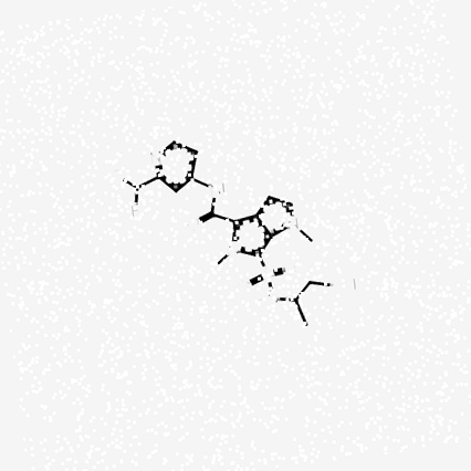 CC(CO)NS(=O)(=O)c1c2c(ccn2C)c(C(=O)Nc2ccnc(C(F)F)c2)n1C